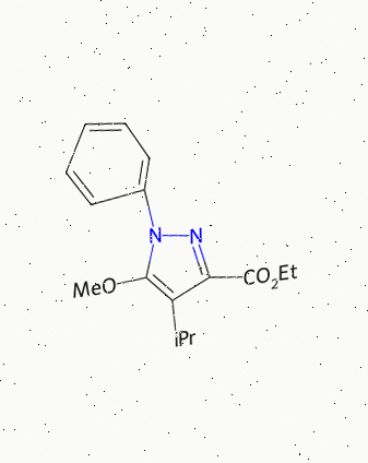 CCOC(=O)c1nn(-c2ccccc2)c(OC)c1C(C)C